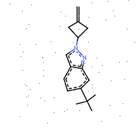 C=C1CC(n2cc3ccc(C(C)(C)C)cc3n2)C1